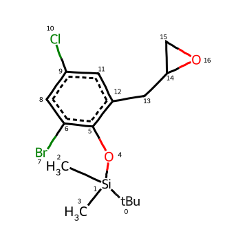 CC(C)(C)[Si](C)(C)Oc1c(Br)cc(Cl)cc1CC1CO1